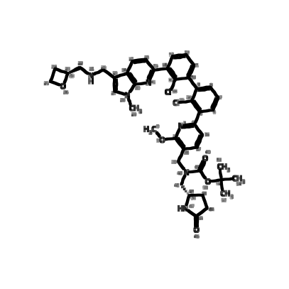 COc1nc(-c2cccc(-c3cccc(-c4ccc5c(CNC[C@@H]6CCO6)cn(C)c5n4)c3Cl)c2Cl)ccc1CN(C[C@@H]1CCC(=O)N1)C(=O)OC(C)(C)C